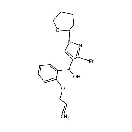 C=CCOc1ccccc1C(O)c1cn(C2CCCCO2)nc1CC